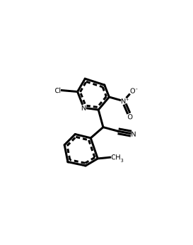 Cc1ccccc1C(C#N)c1nc(Cl)ccc1[N+](=O)[O-]